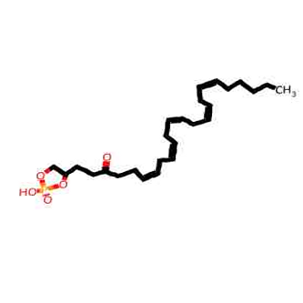 CCCCC/C=C\C/C=C\C/C=C\C/C=C\C/C=C\CCC(=O)CCC1COP(=O)(O)O1